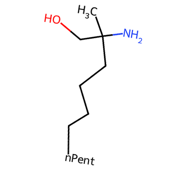 CCCCCCCCCC(C)(N)CO